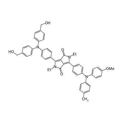 CCN1C(=O)C2=C(c3ccc(N(c4ccc(C)cc4)c4ccc(OC)cc4)cc3)N(CC)C(=O)C2=C1c1ccc(N(c2ccc(CO)cc2)c2ccc(CO)cc2)cc1